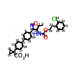 Cc1onc(-c2ccc(-c3ccc(C4(C(=O)O)CC4)cc3)cc2)c1NC(=O)OCCc1ccccc1Cl